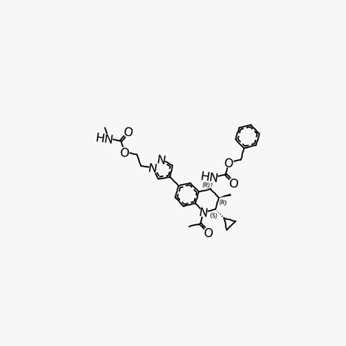 CNC(=O)OCCn1cc(-c2ccc3c(c2)[C@H](NC(=O)OCc2ccccc2)[C@@H](C)[C@H](C2CC2)N3C(C)=O)cn1